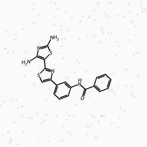 Nc1nc(N)c(-c2nc(-c3cccc(NC(=O)c4ccccc4)c3)cs2)s1